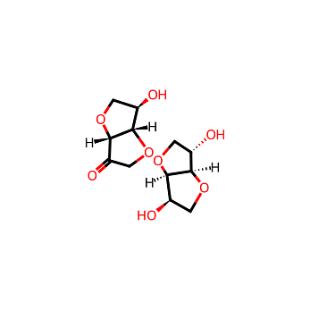 O=C1CO[C@H]2[C@H](O)CO[C@@H]12.O[C@@H]1CO[C@H]2[C@@H]1OC[C@@H]2O